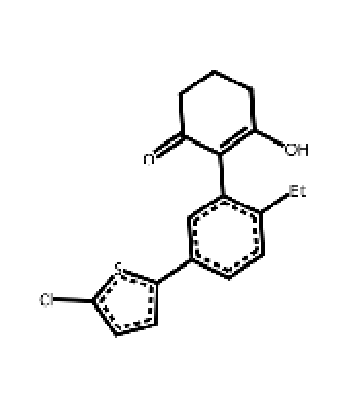 CCc1ccc(-c2ccc(Cl)s2)cc1C1=C(O)CCCC1=O